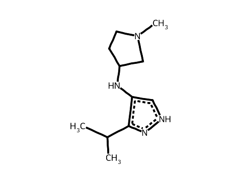 CC(C)c1n[nH]cc1NC1CCN(C)C1